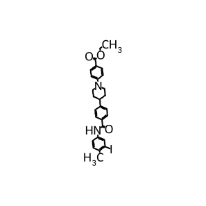 CCOC(=O)c1ccc(N2CCC(c3ccc(C(=O)Nc4ccc(C)c(I)c4)cc3)CC2)cc1